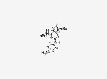 CCCNc1nc(N[C@H]2CC[C@H](N)CC2)nc2c1ncn2C(C)CC